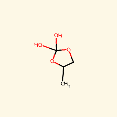 CC1COC(O)(O)O1